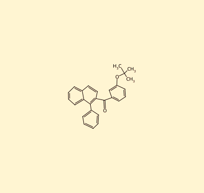 CC(C)(C)Oc1cccc(C(=O)c2ccc3ccccc3c2-c2ccccc2)c1